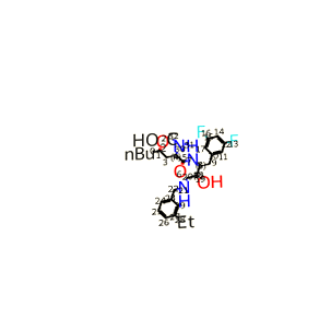 CCCCC(=O)C[C@H](C(=O)N[C@@H](Cc1cc(F)cc(F)c1)[C@H](O)CNCc1cccc(CC)c1)N(C)C(=O)O